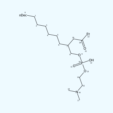 CCCCCCCCCCCCCCCCC(COP(=O)(O)OCCN(C)C)CC(=O)CC